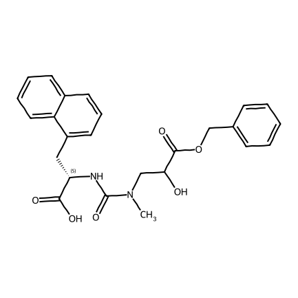 CN(CC(O)C(=O)OCc1ccccc1)C(=O)N[C@@H](Cc1cccc2ccccc12)C(=O)O